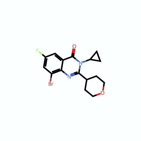 O=c1c2cc(F)cc(Br)c2nc(C2CCOCC2)n1C1CC1